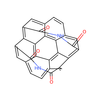 O=c1[nH]c(=O)c2cc3ccc4cc1c1c5cc6ccc7cc(c(=O)[nH]c5=O)c2c2c3c4c1c6c72